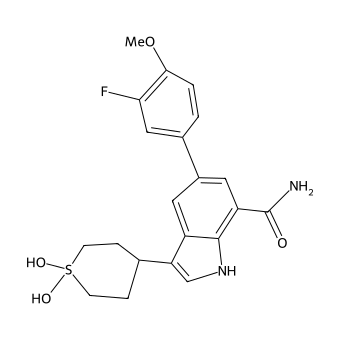 COc1ccc(-c2cc(C(N)=O)c3[nH]cc(C4CCS(O)(O)CC4)c3c2)cc1F